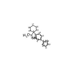 CC(N)C1(c2ccc(-c3nccs3)cc2)CCCCC1